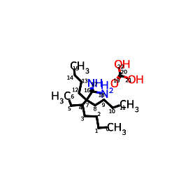 CCCCC(CC)C(CCCC)(CCCC)C(=N)N.O=C(O)O